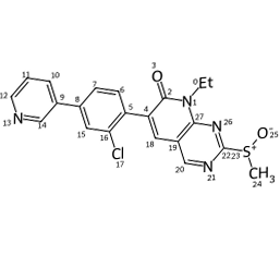 CCn1c(=O)c(-c2ccc(-c3cccnc3)cc2Cl)cc2cnc([S+](C)[O-])nc21